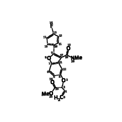 C=CC(Oc1ccc2oc(-c3ccc(F)cc3)c(C(=O)NC)c2c1)C(=O)OC